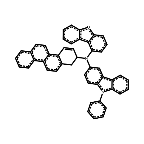 C1=CC(N(c2ccc3c(c2)c2ccccc2n3-c2ccccc2)c2cccc3oc4ccccc4c23)Cc2ccc3c(ccc4ccccc43)c21